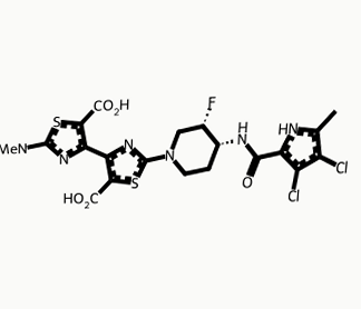 CNc1nc(-c2nc(N3CC[C@@H](NC(=O)c4[nH]c(C)c(Cl)c4Cl)[C@@H](F)C3)sc2C(=O)O)c(C(=O)O)s1